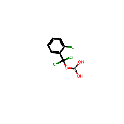 OB(O)OC(Cl)(Cl)c1ccccc1Cl